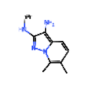 CCCNc1nn2c(C)c(C)ccc2c1N